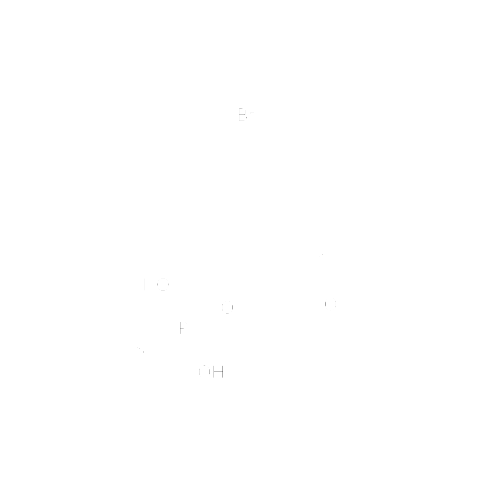 O=C1CCc2c(Br)ccc(OP(O)(O)=S)c21